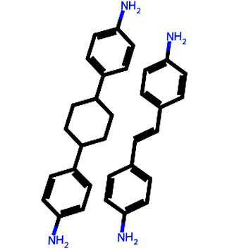 Nc1ccc(C2CCC(c3ccc(N)cc3)CC2)cc1.Nc1ccc(C=Cc2ccc(N)cc2)cc1